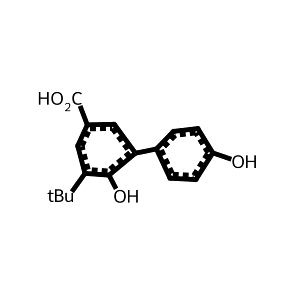 CC(C)(C)c1cc(C(=O)O)cc(-c2ccc(O)cc2)c1O